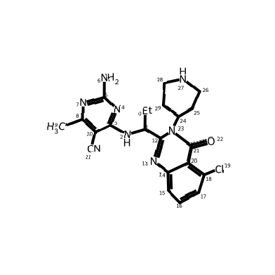 CCC(Nc1nc(N)nc(C)c1C#N)c1nc2cccc(Cl)c2c(=O)n1C1CCNCC1